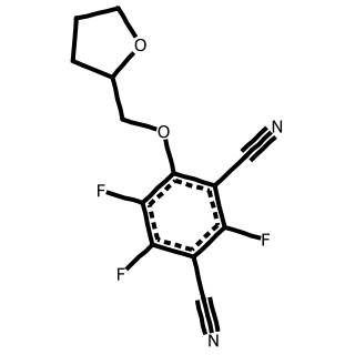 N#Cc1c(F)c(F)c(OCC2CCCO2)c(C#N)c1F